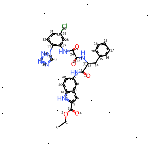 CCOC(=O)c1cc2cc(NC(=O)[C@H](Cc3ccccc3)NC(=O)C(=O)Nc3cc(Cl)ccc3-n3cnnn3)ccc2[nH]1